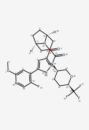 COc1cc(-c2cc(C(=O)N3[C@@H]4CC[C@H]3CC(C(=O)N[C@@H]3CC[C@H](C(F)(F)F)OC3)C4)n[nH]2)c(F)cn1